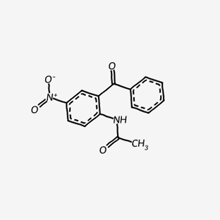 CC(=O)Nc1ccc([N+](=O)[O-])cc1C(=O)c1ccccc1